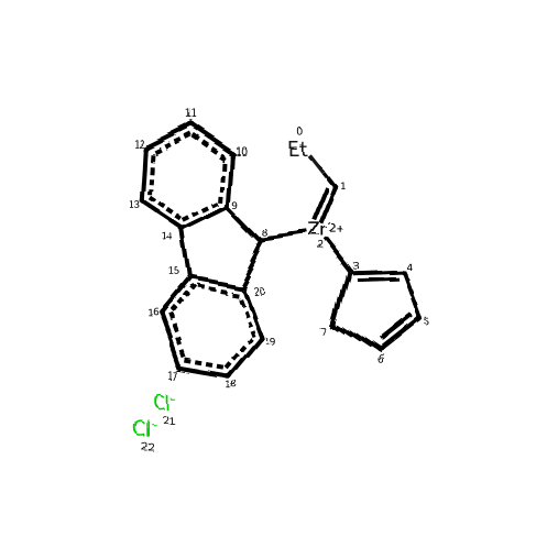 CC/[CH]=[Zr+2](/[C]1=CC=CC1)[CH]1c2ccccc2-c2ccccc21.[Cl-].[Cl-]